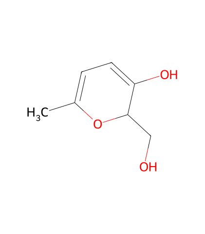 CC1=CC=C(O)C(CO)O1